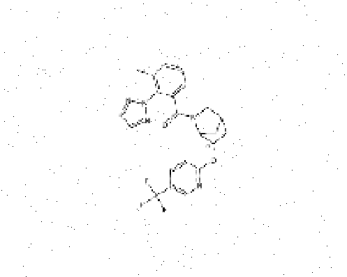 Cc1cccc(C(=O)N2CC3CC2[C@@H](Oc2ccc(C(F)(F)F)cn2)C3)c1-n1nccn1